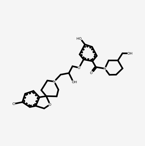 O=C(c1ccc(O)cc1OCC(O)CN1CCC2(CC1)OCc1cc(Cl)ccc12)N1CCCC(CO)C1